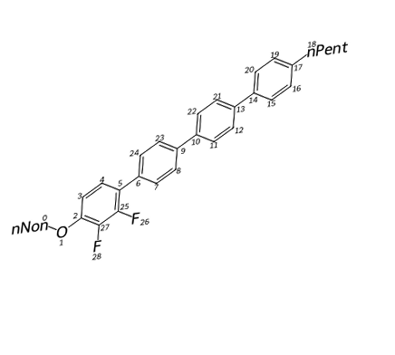 CCCCCCCCCOc1ccc(-c2ccc(-c3ccc(-c4ccc(CCCCC)cc4)cc3)cc2)c(F)c1F